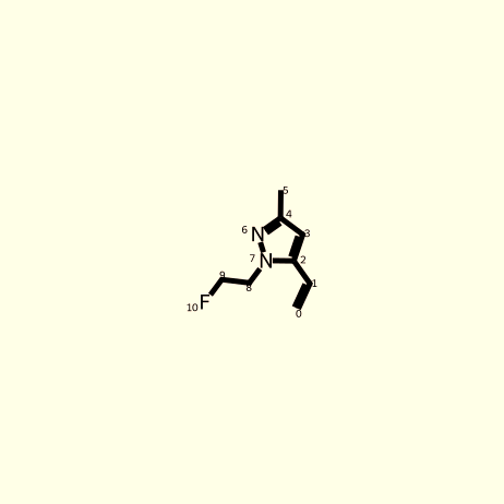 C=Cc1cc(C)nn1CCF